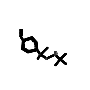 C=Cc1ccc([Si](C)(C)O[SiH2]C(C)(C)C)cc1